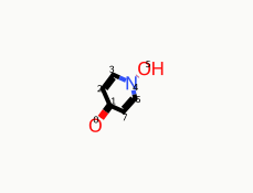 O=c1ccn(O)cc1